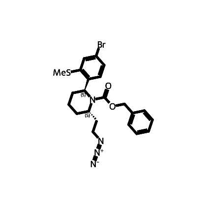 CSc1cc(Br)ccc1[C@@H]1CCC[C@@H](CCN=[N+]=[N-])N1C(=O)OCc1ccccc1